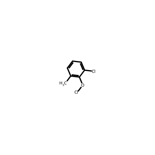 Cc1cccc(Cl)c1OCl